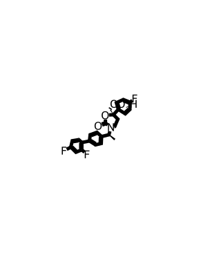 C[C@@H](c1ccc(-c2ccc(F)cc2F)cc1)N1CC[C@](CC(=O)O)(c2ccc(F)cc2)OC1=O